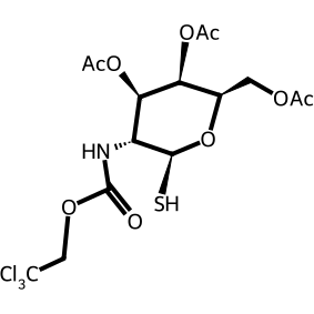 CC(=O)OC[C@H]1O[C@@H](S)[C@H](NC(=O)OCC(Cl)(Cl)Cl)[C@@H](OC(C)=O)[C@H]1OC(C)=O